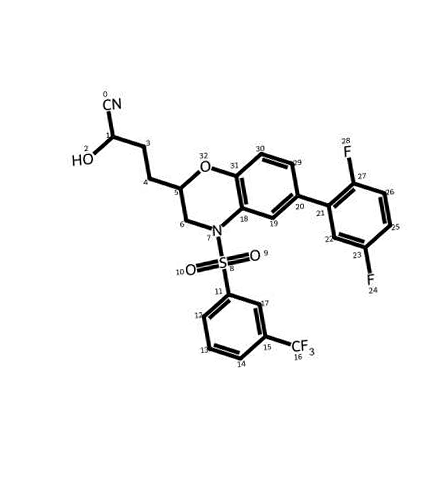 N#CC(O)CCC1CN(S(=O)(=O)c2cccc(C(F)(F)F)c2)c2cc(-c3cc(F)ccc3F)ccc2O1